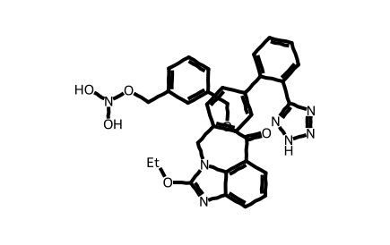 CCOc1nc2cccc(C(=O)OCc3cccc(CON(O)O)c3)c2n1Cc1ccc(-c2ccccc2-c2nn[nH]n2)cc1